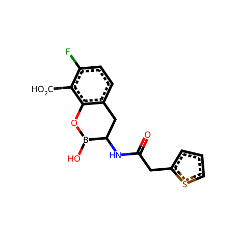 O=C(Cc1cccs1)NC1Cc2ccc(F)c(C(=O)O)c2OB1O